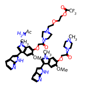 CC(N)=O.COc1cc2c(-c3cc4cccnc4[nH]3)cn(C)c2cc1OCC(=O)N1CCN(C)CC1.COc1cc2c(-c3cc4cccnc4[nH]3)cn(C)c2cc1OCC(=O)N1CCN(CCOCCOC(=O)C(F)(F)F)CC1